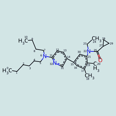 CCCCCCN(CCCC)c1ccc(-c2cc(C)c(C)c(N(CC)C(=O)C3CC3)c2)cn1